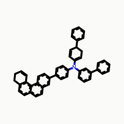 C1=Cc2c(ccc3ccc4cc(-c5ccc(N(C6=CCC(c7ccccc7)C=C6)c6cccc(-c7ccccc7)c6)cc5)ccc4c23)CC1